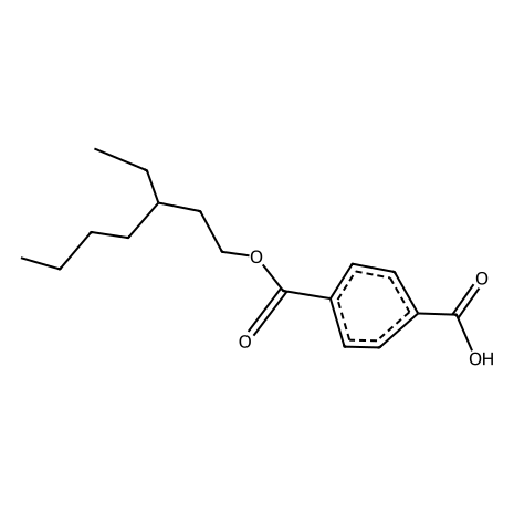 CCCCC(CC)CCOC(=O)c1ccc(C(=O)O)cc1